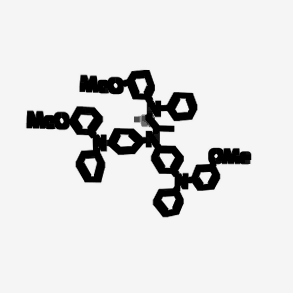 COc1cccc(N(c2ccccc2)c2ccc(N(c3ccc(N(c4ccccc4)c4cccc(OC)c4)cc3)C(C)[C@H](C)N(c3ccccc3)c3cccc(OC)c3)cc2)c1